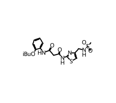 CC(C)COc1ccccc1NC(=O)CC(=O)Nc1nc(CNS(C)(=O)=O)cs1